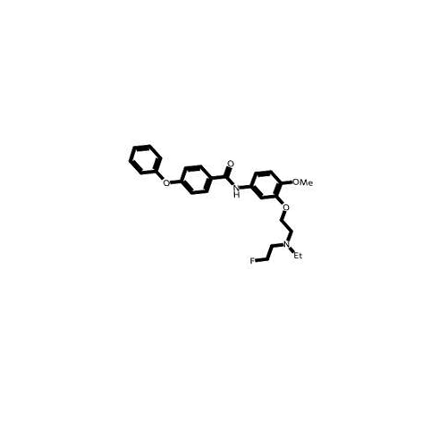 CCN(CCF)CCOc1cc(NC(=O)c2ccc(Oc3ccccc3)cc2)ccc1OC